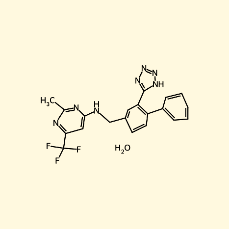 Cc1nc(NCc2ccc(-c3ccccc3)c(-c3nnn[nH]3)c2)cc(C(F)(F)F)n1.O